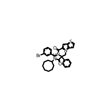 O=C1c2cc3sccc3n2CC(C(=O)NC2CCCCCCC2)(c2ccccc2)N1Cc1cccc(Br)c1